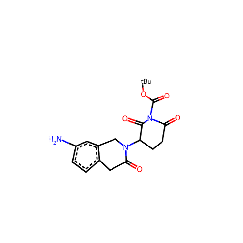 CC(C)(C)OC(=O)N1C(=O)CCC(N2Cc3cc(N)ccc3CC2=O)C1=O